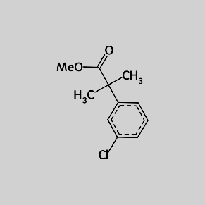 COC(=O)C(C)(C)c1cccc(Cl)c1